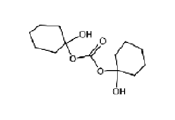 O=C(OC1(O)CCCCC1)OC1(O)CCCCC1